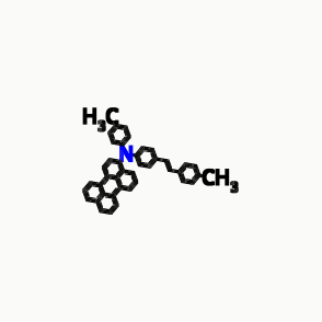 Cc1ccc(C=Cc2ccc(N(c3ccc(C)cc3)c3ccc4c5cccc6cccc(c7cccc3c74)c65)cc2)cc1